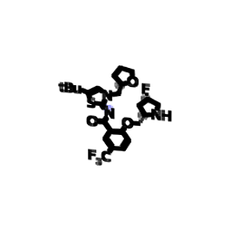 CC(C)(C)c1cn(C[C@H]2CCCO2)/c(=N/C(=O)c2cc(C(F)(F)F)ccc2OC[C@@H]2C[C@H](F)CN2)s1